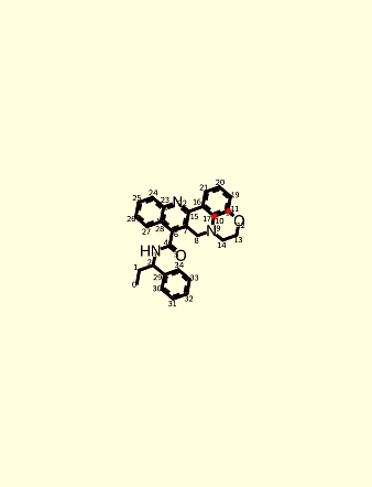 CCC(NC(=O)c1c(CN2CCOCC2)c(-c2ccccc2)nc2ccccc12)c1ccccc1